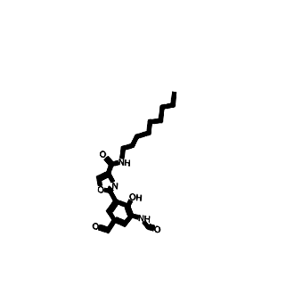 CCCCCCCCCNC(=O)c1coc(-c2cc(C=O)cc(NC=O)c2O)n1